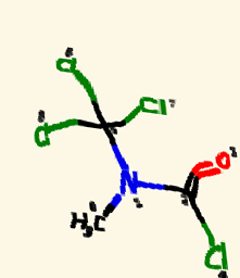 CN(C(=O)Cl)C(Cl)(Cl)Cl